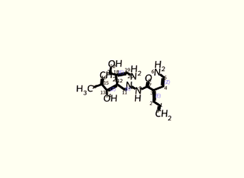 C=C/C=C(\C=C/N)C(=O)N/N=C/C(=C(\O)C(=C)C)C(=C\N)/CO